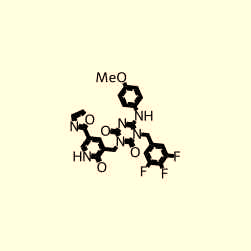 COc1ccc(Nc2nc(=O)n(Cc3cc(-c4ncco4)c[nH]c3=O)c(=O)n2Cc2cc(F)c(F)c(F)c2)cc1